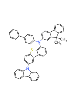 CC1(C)c2ccccc2-c2ccc(N(c3ccc(-c4ccccc4)cc3)c3cccc4c3sc3ccc(-n5c6ccccc6c6ccccc65)cc34)cc21